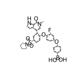 Cn1cc(-c2cc(S(=O)(=O)N3CCCC3)ccc2Oc2ccc(Oc3ccc(B(O)O)cc3)cc2F)c2cc[nH]c2c1=O